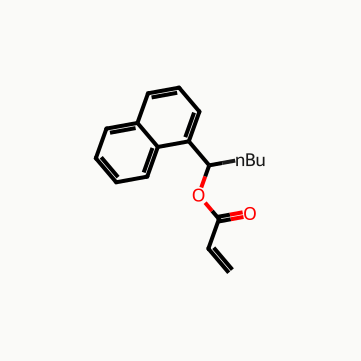 C=CC(=O)OC(CCCC)c1cccc2ccccc12